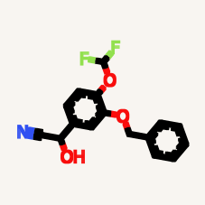 N#CC(O)c1ccc(OC(F)F)c(OCc2ccccc2)c1